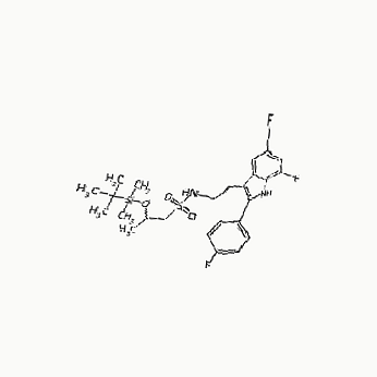 CC(CS(=O)(=O)NCCc1c(-c2ccc(F)cc2)[nH]c2c(F)cc(F)cc12)O[Si](C)(C)C(C)(C)C